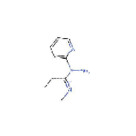 CC/C(=N\C)N(N)c1ccccn1